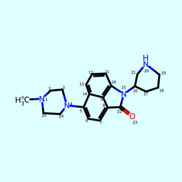 CN1CCN(c2ccc3c4c(cccc24)N(C2CCCNC2)C3=O)CC1